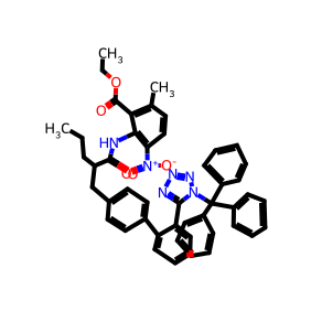 CCCC(Cc1ccc(-c2ccccc2-c2nnnn2C(c2ccccc2)(c2ccccc2)c2ccccc2)cc1)C(=O)Nc1c([N+](=O)[O-])ccc(C)c1C(=O)OCC